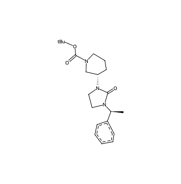 C[C@@H](c1ccccc1)N1CCN([C@H]2CCCN(C(=O)OC(C)(C)C)C2)C1=O